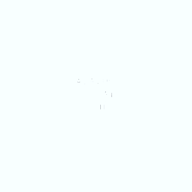 I.[Ag+].[Ag+].[Ag+].[O-2]